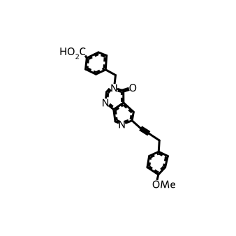 COc1ccc(CC#Cc2cc3c(=O)n(Cc4ccc(C(=O)O)cc4)cnc3cn2)cc1